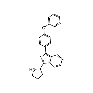 c1cncc(Oc2ccc(-c3nc(C4CCCN4)n4ccncc34)cc2)c1